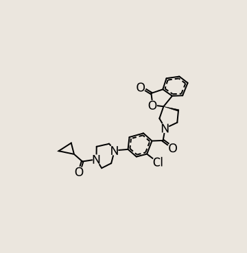 O=C1O[C@]2(CCN(C(=O)c3ccc(N4CCN(C(=O)C5CC5)CC4)cc3Cl)C2)c2ccccc21